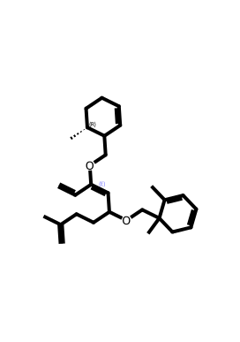 C=C/C(=C\C(CCC(=C)C)OCC1(C)CC=CC=C1C)OCC1C=CCC[C@H]1C